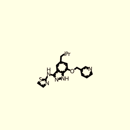 CC(C)Cc1cc(OCc2cccnc2)c2[nH]nc(Nc3nccs3)c2c1